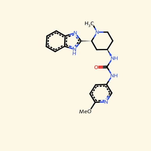 COc1ccc(NC(=O)N[C@@H]2CCN(C)[C@@H](c3nc4ccccc4[nH]3)C2)cn1